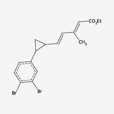 CCOC(=O)/C=C(C)/C=C/C1CC1c1ccc(Br)c(Br)c1